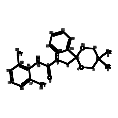 CCC1(CC)COC(CNC(=O)Nc2c(C(C)C)cccc2C(C)C)(c2ccccc2)OC1